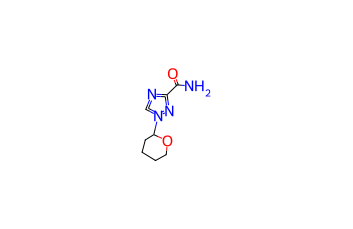 NC(=O)c1ncn(C2CCCCO2)n1